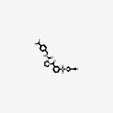 N#CC1CN(S(=O)(=O)c2cccc(C(=O)N3CCC[C@@H]3C(=O)NCc3ccc(C(F)F)cc3)c2)C1